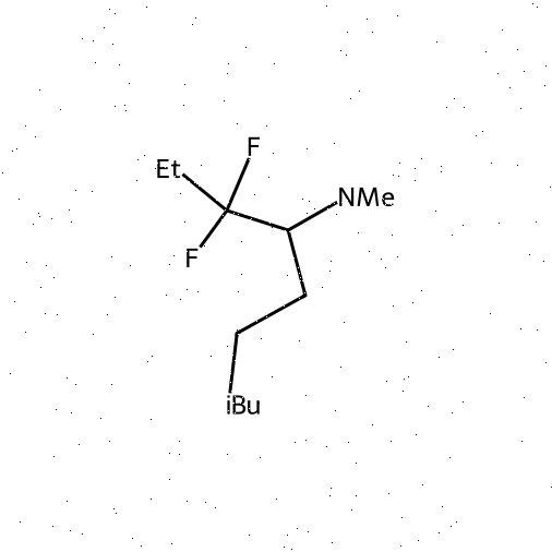 CCC(C)CCC(NC)C(F)(F)CC